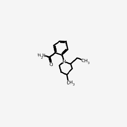 CCC1CC(C)CCN1c1ccccc1C(N)=O